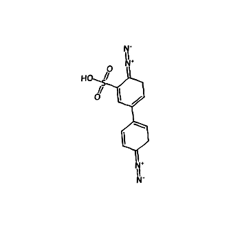 [N-]=[N+]=C1C=CC(C2=CCC(=[N+]=[N-])C(S(=O)(=O)O)=C2)=CC1